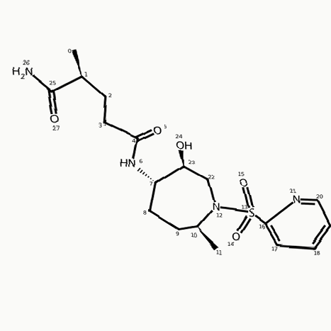 C[C@@H](C[CH]C(=O)N[C@H]1CC[C@H](C)N(S(=O)(=O)c2ccccn2)C[C@@H]1O)C(N)=O